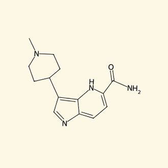 CN1CCC(c2cnc3ccc(C(N)=O)[nH]c2-3)CC1